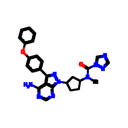 CCN(C(=O)n1cncn1)C1CCC(n2nc(-c3ccc(Oc4ccccc4)cc3)c3c(N)ncnc32)C1